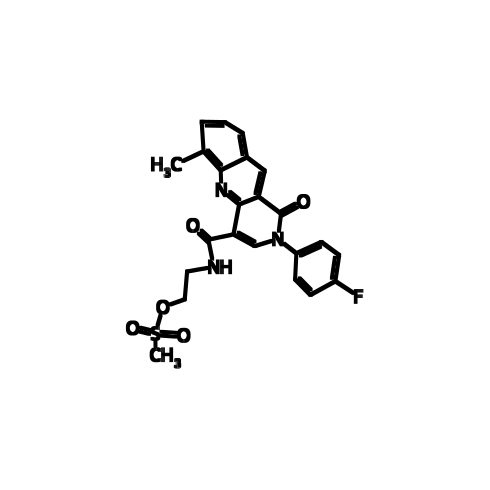 Cc1cccc2cc3c(=O)n(-c4ccc(F)cc4)cc(C(=O)NCCOS(C)(=O)=O)c3nc12